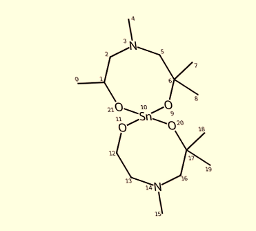 CC1CN(C)CC(C)(C)[O][Sn]2([O]CCN(C)CC(C)(C)[O]2)[O]1